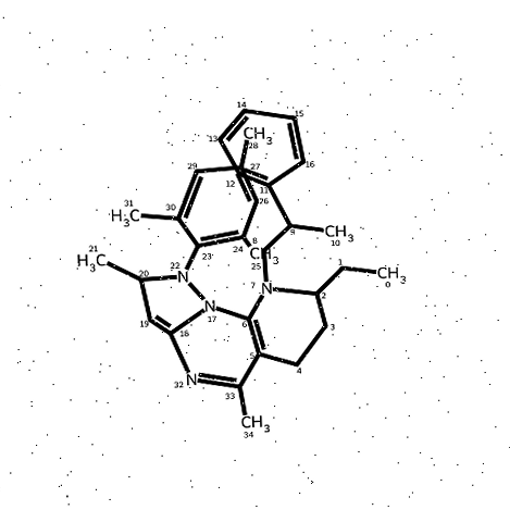 CCC1CCC2=C(N1CC(C)c1ccccc1)N1C(=CC(C)N1c1c(C)cc(C)cc1C)N=C2C